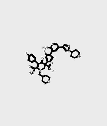 NC(=O)C1=C(c2ccc(F)cc2)C(=O)C(C(N)=O)(c2ccc(-c3cc(-c4cnn(C5CCNCC5)c4)cnc3N)c(F)c2)CN1CC1CCOCC1